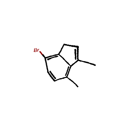 CC1=CCc2c(Br)ccc(C)c21